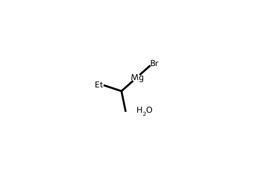 CC[CH](C)[Mg][Br].O